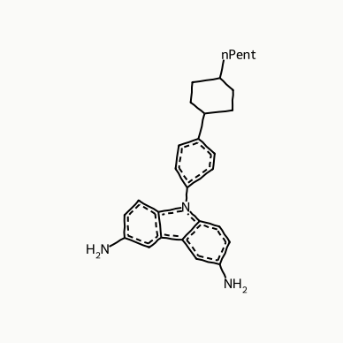 CCCCCC1CCC(c2ccc(-n3c4ccc(N)cc4c4cc(N)ccc43)cc2)CC1